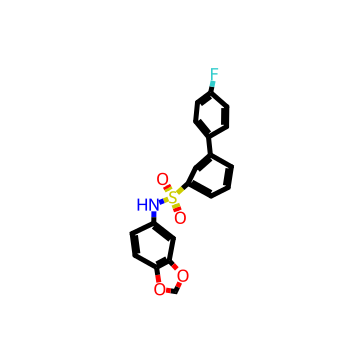 O=S(=O)(Nc1ccc2c(c1)OCO2)c1cccc(-c2ccc(F)cc2)c1